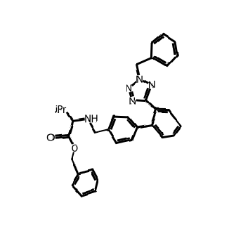 CC(C)C(NCc1ccc(-c2ccccc2-c2nnn(Cc3ccccc3)n2)cc1)C(=O)OCc1ccccc1